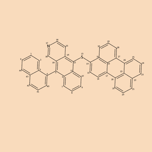 c1ccc2c(-c3c4ccccc4c(Sc4ccc5c6cccc7cccc(c8cccc4c85)c76)c4ccncc34)cccc2c1